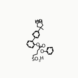 CC(CO)(CO)c1ccc(-c2ccccc2OP(=O)(CCCS(=O)(=O)O)Oc2ccccc2)cc1